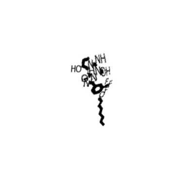 CCCCCCCCOc1ccc(-c2noc([C@@H]3[C@@H](O)CCN3C(=N)NO)n2)cc1C(F)(F)F